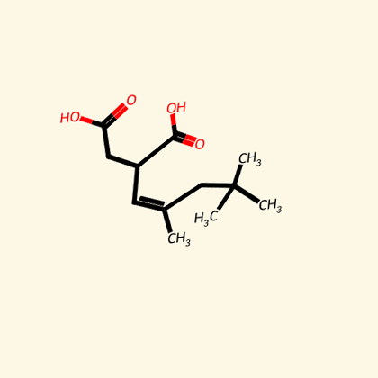 CC(=CC(CC(=O)O)C(=O)O)CC(C)(C)C